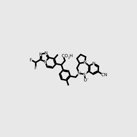 Cc1ccc(C(CC(=O)O)c2ccn3c(C(F)F)nnc3c2C)cc1CN1CC2CCCN2c2ncc(C#N)cc2[S+]1[O-]